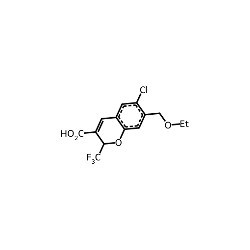 CCOCc1cc2c(cc1Cl)C=C(C(=O)O)C(C(F)(F)F)O2